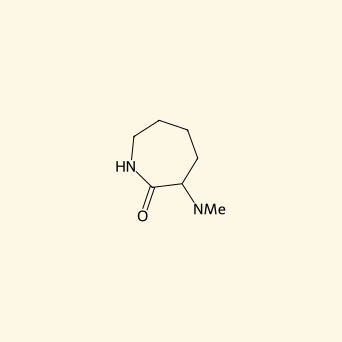 CNC1CCCCNC1=O